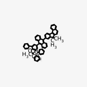 CC1(C)c2cc(-c3c4ccccc4c(-c4cc([Si](c5ccccc5)(c5ccccc5)C(C)(C)C)c5oc6ccccc6c5c4)c4ccccc34)ccc2-c2c1ccc1ccccc21